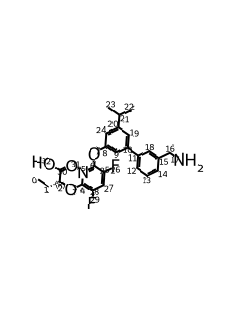 CC[C@@H](Oc1nc(Oc2cc(-c3cccc(CN)c3)cc(C(C)C)c2)c(F)cc1F)C(=O)O